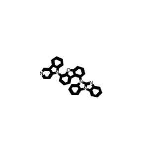 c1ccc2c(c1)nc1n(-c3cccc4oc5c(-n6c7ccccc7c7cnccc76)cccc5c34)c3ccccc3n21